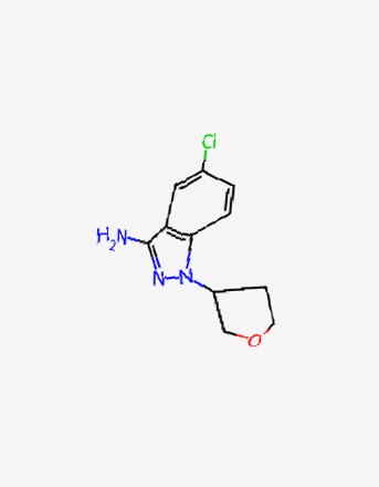 Nc1nn(C2CCOC2)c2ccc(Cl)cc12